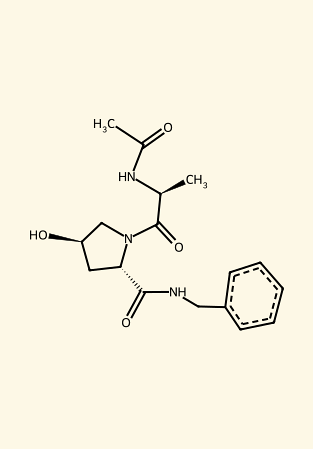 CC(=O)N[C@@H](C)C(=O)N1C[C@H](O)C[C@H]1C(=O)NCc1ccccc1